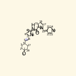 O=C1CCC(/C=C/c2csc(NC(=O)c3cccn3Cc3ccncc3)n2)CC1